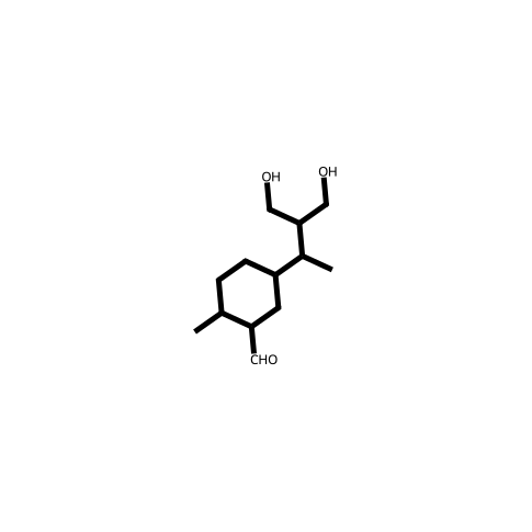 CC1CCC(C(C)C(CO)CO)CC1C=O